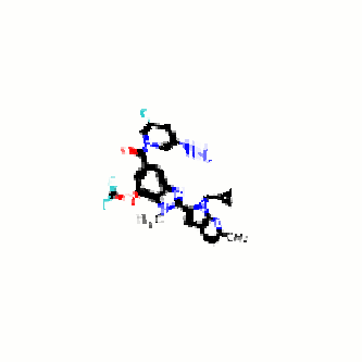 COc1ccc2cc(-c3nc4cc(C(=O)N5C[C@H](N)C[C@@H](F)C5)cc(OC(F)F)c4n3C)n(CC3CC3)c2n1